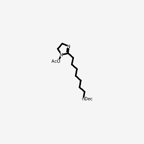 CCCCCCCCCCCCCCCCCC1=NCCN1OC(C)=O